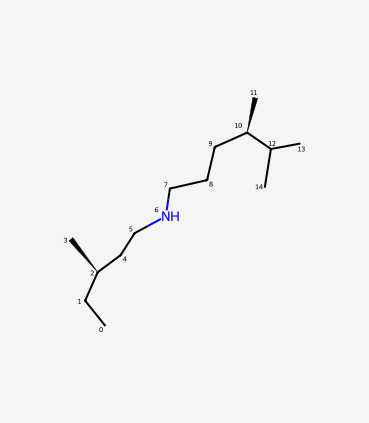 CC[C@@H](C)CCNCCC[C@@H](C)C(C)C